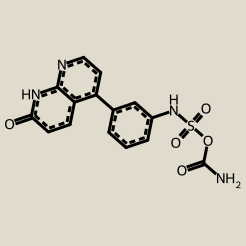 NC(=O)OS(=O)(=O)Nc1cccc(-c2ccnc3[nH]c(=O)ccc23)c1